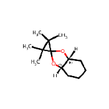 CC1(C)C(C)(C)C12O[C@H]1CCCC[C@H]1O2